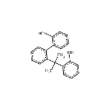 CCCc1ccccc1-c1ccccc1C(C)(C)c1ccccc1O